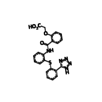 O=C(O)COc1ccccc1C(=O)Nc1ccccc1Sc1ccccc1-c1nnn[nH]1